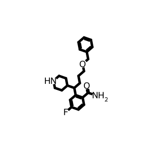 NC(=O)c1ccc(F)cc1C(CCCOCc1ccccc1)C1CCNCC1